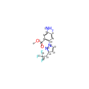 COC(=O)c1cc(N)ccc1-n1ccc(CC(F)(F)F)n1